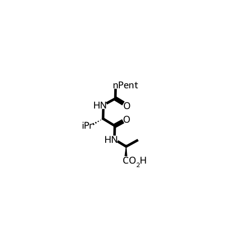 CCCCCC(=O)N[C@H](C(=O)N[C@@H](C)C(=O)O)C(C)C